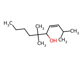 CCCCC(C)(C)C(O)/C=C\C(C)C